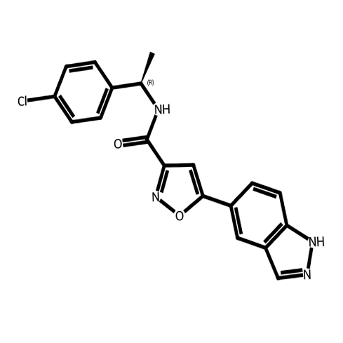 C[C@@H](NC(=O)c1cc(-c2ccc3[nH]ncc3c2)on1)c1ccc(Cl)cc1